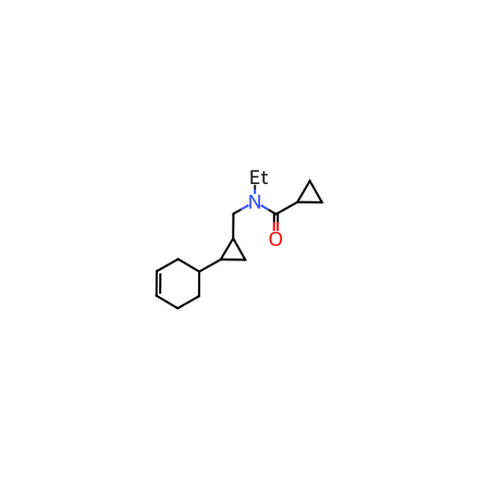 CCN(CC1CC1C1CC=CCC1)C(=O)C1CC1